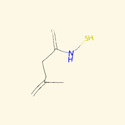 C=C(C)CC(=C)NS